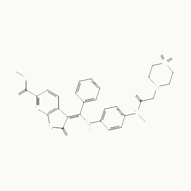 COC(=O)c1ccc2c(n1)NC(=O)/C2=C(\Nc1ccc(N(C)C(=O)CN2CCS(=O)(=O)CC2)cc1)c1ccccc1